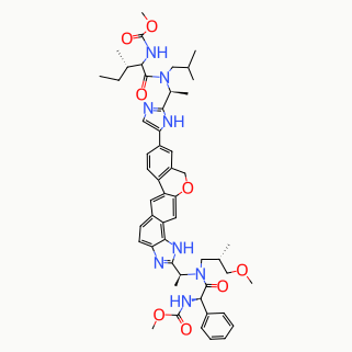 CC[C@H](C)C(NC(=O)OC)C(=O)N(CC(C)C)[C@@H](C)c1ncc(-c2ccc3c(c2)COc2cc4c(ccc5nc([C@H](C)N(C[C@H](C)COC)C(=O)[C@H](NC(=O)OC)c6ccccc6)[nH]c54)cc2-3)[nH]1